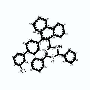 N#Cc1cccc(-c2ccc(-c3c(C4N=C(c5ccccc5)NC(c5ccccc5)N4)c4ccccc4c4ccccc34)cc2)c1